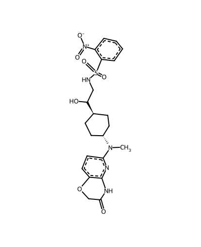 CN(c1ccc2c(n1)NC(=O)CO2)[C@H]1CC[C@H](C(O)CNS(=O)(=O)c2ccccc2[N+](=O)[O-])CC1